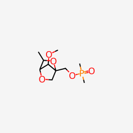 COC1C2OCC1(COP(C)(C)=O)OC2C